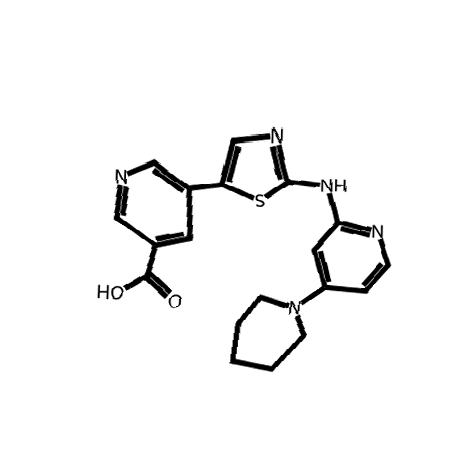 O=C(O)c1cncc(-c2cnc(Nc3cc(N4CCCCC4)ccn3)s2)c1